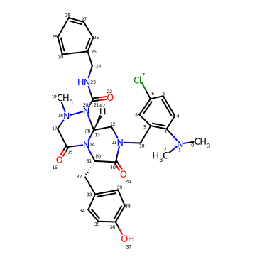 CN(C)c1ccc(Cl)cc1CN1C[C@@H]2N(C(=O)CN(C)N2C(=O)NCc2ccccc2)[C@@H](Cc2ccc(O)cc2)C1=O